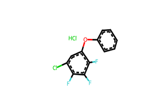 Cl.Fc1c(Cl)cc(Oc2ccccc2)c(F)c1F